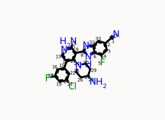 N#Cc1cc(F)c2[nH]c(-c3c(N)ncc(-c4cc(F)cc(Cl)c4)c3N3CCC(N)CC3)nc2c1